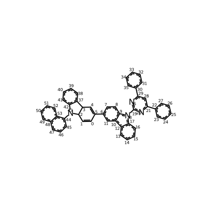 C1=CC2C(C=C1c1ccc3c(c1)c1ccccc1n3-c1nc(-c3ccccc3)cc(-c3ccccc3)n1)c1ccccc1N2c1cccc2ccccc12